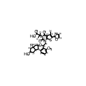 COc1ccccc1C(Cn1c(=O)n(C(C)(C)C(=O)O)c(=O)c2c(C)c(-c3ncco3)sc21)O[C@H]1CC2C[C@@H](O)C[C@H]2C1